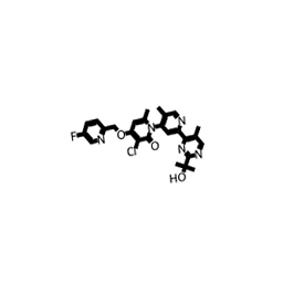 Cc1cnc(-c2nc(C(C)(C)O)ncc2C)cc1-n1c(C)cc(OCc2ccc(F)cn2)c(Cl)c1=O